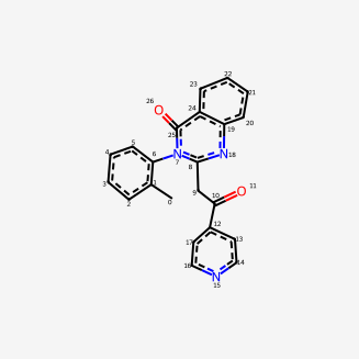 Cc1ccccc1-n1c(CC(=O)c2ccncc2)nc2ccccc2c1=O